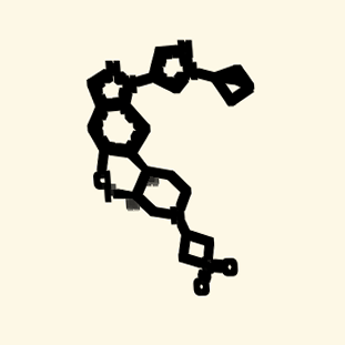 O=S1(=O)CC(N2CC[C@H](c3cc4c(cnn4-c4cnn(C56CC(C5)C6)c4)cc3Cl)[C@H](F)C2)C1